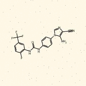 N#Cc1ncn(-c2ccc(NC(=O)Nc3cc(C(F)(F)F)ccc3F)cc2)c1N